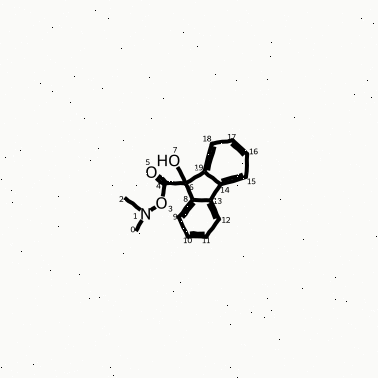 CN(C)OC(=O)C1(O)c2ccccc2-c2ccccc21